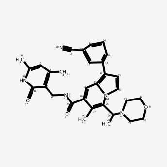 Cc1cc(C)c(CNC(=O)c2cc3c(-c4cccc(C#N)c4)ccn3c(C(C)N3CCOCC3)c2C)c(=O)[nH]1